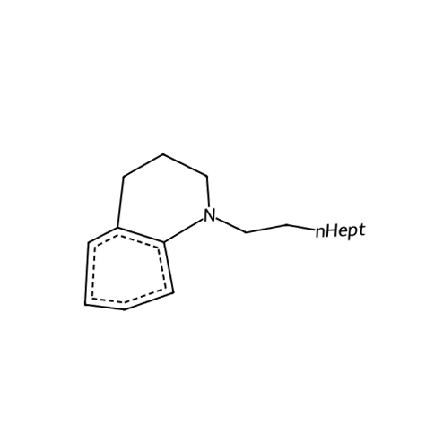 CCCCCCCCCN1CCCc2ccccc21